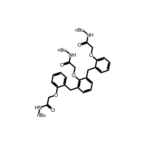 CCCCNC(=O)COc1ccccc1Cc1cccc(Cc2ccccc2OCC(=O)NCCCC)c1OCC(=O)NCCCC